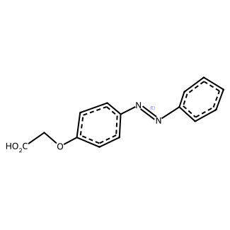 O=C(O)COc1ccc(/N=N/c2ccccc2)cc1